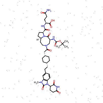 Cn1c(=O)n(C2CCC(=O)NC2=O)c2ccc(CC[C@H]3CC[C@@H](CC(=O)N4CC[C@H]5CC[C@@H](C(=O)N[C@@H](CCC(N)=O)C(=O)O)N5C(=O)[C@@H](NC(=O)OC(C)(C)C)C4)CC3)cc21